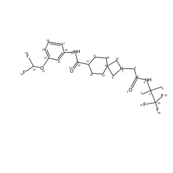 CC(C)(NC(=O)CN1CC2(CCC(C(=O)Nc3cccc(OC(F)F)c3)CC2)C1)C(F)(F)F